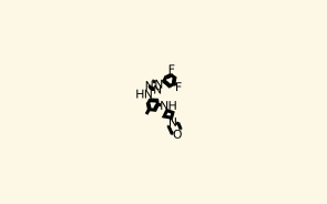 Cc1cc(Nc2ncn(-c3cc(F)cc(F)c3)n2)cc(N[C@H]2C[C@@H](N3CCOCC3)C2)c1